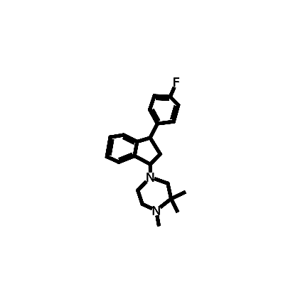 CN1CCN(C2CC(c3ccc(F)cc3)c3ccccc32)CC1(C)C